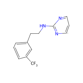 FC(F)(F)c1cccc(CCNc2n[c]ccn2)c1